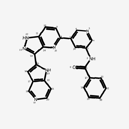 O=C(Nc1cncc(-c2ccc3[nH]nc(-c4cc5cnccc5[nH]4)c3n2)c1)c1ccccc1